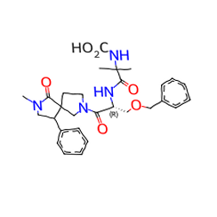 CN1CC(c2ccccc2)C2(CCN(C(=O)[C@@H](COCc3ccccc3)NC(=O)C(C)(C)NC(=O)O)C2)C1=O